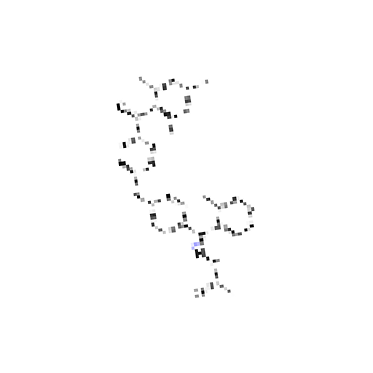 CC(=O)O/N=C(/c1ccc(Sc2ccc(C(=O)c3c(C)cc(C)cc3C)cc2)cc1)c1ccccc1C